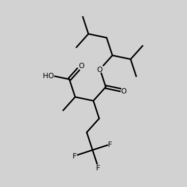 CC(C)CC(OC(=O)C(CCC(F)(F)F)C(C)C(=O)O)C(C)C